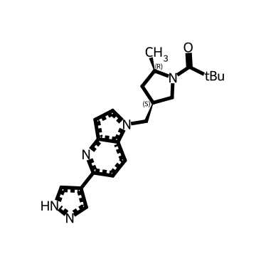 C[C@@H]1C[C@H](Cn2ccc3nc(-c4cn[nH]c4)ccc32)CN1C(=O)C(C)(C)C